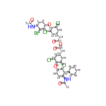 CC(=O)Nc1ccc(Oc2c(Cl)cc(CC(=O)OC(=O)Cc3cc(Cl)c(Oc4ccc(NC(C)=O)c(-c5ccccc5)c4)c(Cl)c3)cc2Cl)cc1Br